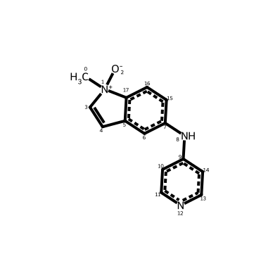 C[N+]1([O-])C=Cc2cc(Nc3ccncc3)ccc21